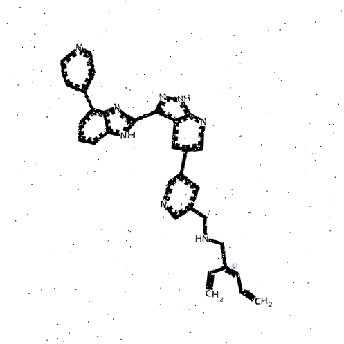 C=C/C=C(\C=C)CNCc1cncc(-c2cnc3[nH]nc(-c4nc5c(-c6ccncc6)cccc5[nH]4)c3c2)c1